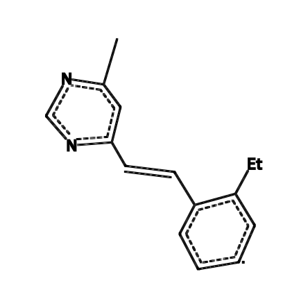 CCc1c[c]ccc1C=Cc1cc(C)ncn1